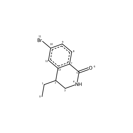 CCC1CNC(=O)c2ccc(Br)cc21